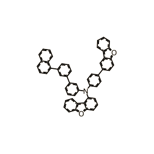 c1cc(-c2cccc(N(c3ccc(-c4ccc5oc6ccccc6c5c4)cc3)c3cccc4oc5ccccc5c34)c2)cc(-c2cccc3ccccc23)c1